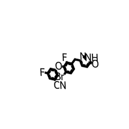 N#Cc1cc(F)cc(Oc2c(Br)ccc(Cc3ccc(=O)[nH]n3)c2F)c1